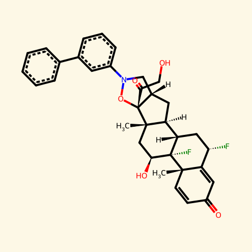 C[C@]12C=CC(=O)C=C1[C@@H](F)C[C@H]1[C@@H]3C[C@H]4CN(c5cccc(-c6ccccc6)c5)O[C@@]4(C(=O)CO)[C@@]3(C)C[C@H](O)[C@@]12F